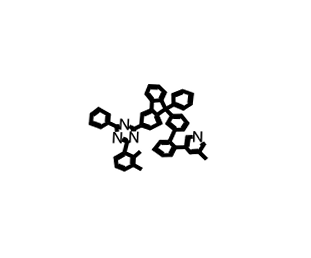 Cc1cncc(-c2ccccc2-c2cccc(C3(c4ccccc4)c4ccccc4-c4cc(-c5nc(-c6ccccc6)nc(-c6cccc(C)c6C)n5)ccc43)c2)c1